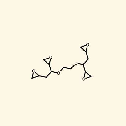 C(COC(CC1CO1)C1CO1)OC(CC1CO1)C1CO1